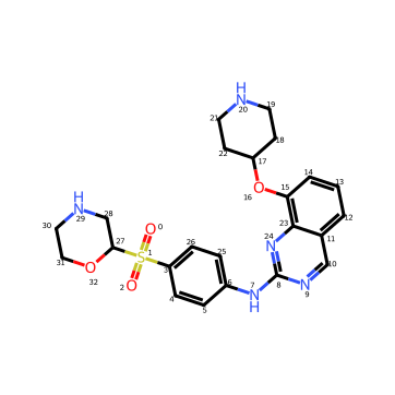 O=S(=O)(c1ccc(Nc2ncc3cccc(OC4CCNCC4)c3n2)cc1)C1CNCCO1